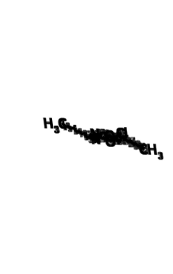 CCCCCCCCCCc1cnc(-c2ccc(OC(=O)c3ccc(CCCCCCCC)c(Cl)c3)cc2)nc1